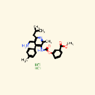 COC(=O)c1cccc(OC(=O)Nc2c(C)nc(CC(C)C)c(CN)c2-c2ccc(C)cc2)c1.Cl.Cl